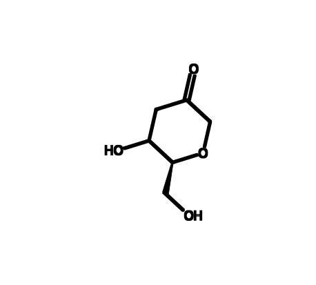 O=C1CO[C@@H](CO)C(O)C1